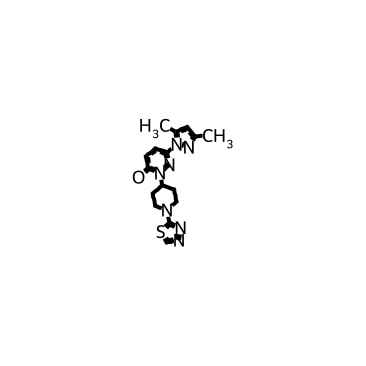 Cc1cc(C)n(-c2ccc(=O)n(C3CCN(c4nncs4)CC3)n2)n1